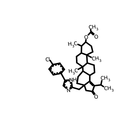 CC(=O)OC1CCC2(C)C(CCC3(C)C4CCC5(Cc6ncc(-c7ccc(Cl)cc7)[nH]6)CC(=O)C(C(C)C)=C5C4CCC32)C1C